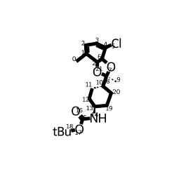 CC1=CC=C(Cl)C2O[C@@](C)([C@H]3CC[C@H](NC(=O)OC(C)(C)C)CC3)OC12